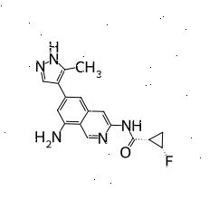 Cc1[nH]ncc1-c1cc(N)c2cnc(NC(=O)[C@@H]3C[C@@H]3F)cc2c1